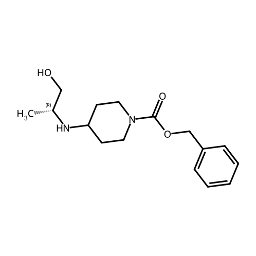 C[C@H](CO)NC1CCN(C(=O)OCc2ccccc2)CC1